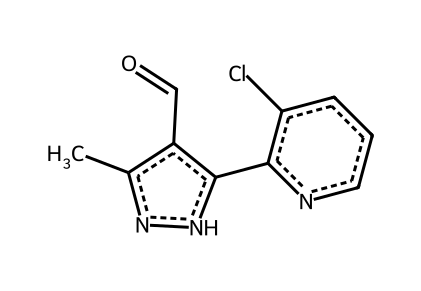 Cc1n[nH]c(-c2ncccc2Cl)c1C=O